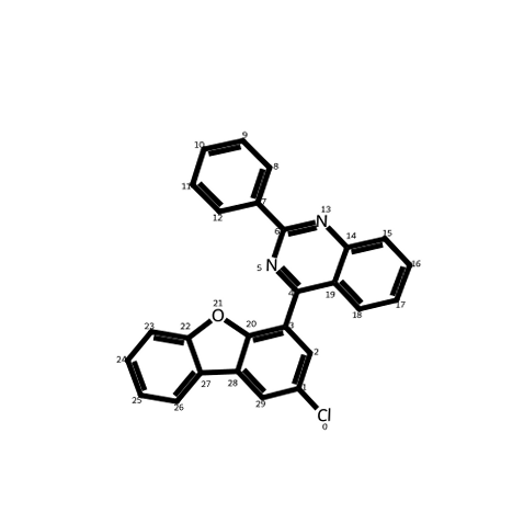 Clc1cc(-c2nc(-c3ccccc3)nc3ccccc23)c2oc3ccccc3c2c1